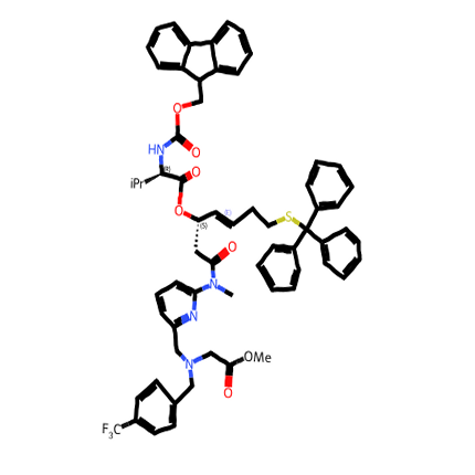 COC(=O)CN(Cc1ccc(C(F)(F)F)cc1)Cc1cccc(N(C)C(=O)C[C@@H](/C=C/CCSC(c2ccccc2)(c2ccccc2)c2ccccc2)OC(=O)[C@H](NC(=O)OCC2c3ccccc3-c3ccccc32)C(C)C)n1